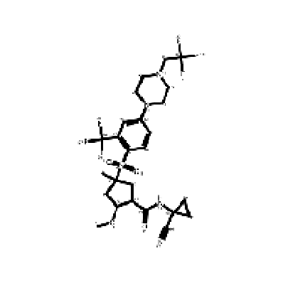 CO[C@H]1CC(C)(S(=O)(=O)c2ccc(N3CCN(CC(F)(F)F)CC3)cc2C(F)(F)F)CC1C(=O)NC1(C#N)CC1